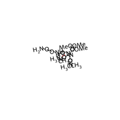 COc1cc(-c2nc(-c3ccc(N(C)C)cc3)c(-c3ccc(N(C)C)cc3)n2Cc2ccc(C(=O)NCCOCCOCCN)cc2)cc(OC)c1OC